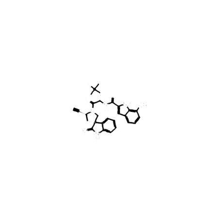 C#C[C@@H]1C[C@@]2(CN1C(=O)[C@H](CC(C)(C)F)NC(=O)c1cc3cccc(C#N)c3[nH]1)C(=O)Nc1ccccc12